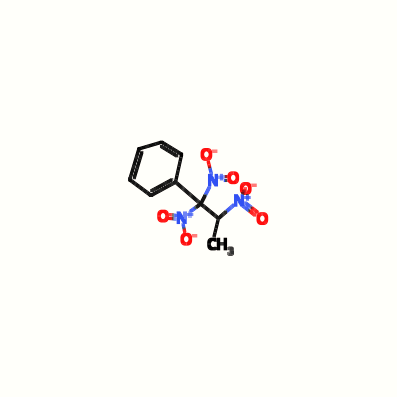 CC([N+](=O)[O-])C(c1ccccc1)([N+](=O)[O-])[N+](=O)[O-]